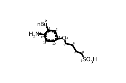 CCCCc1cc(OCCCCS(=O)(=O)O)ccc1N